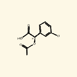 CC(=O)O[C@@H](C(=O)O)c1cccc(Cl)c1